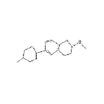 COC1CCc2cc(C3CCC(C)CC3)ccc2C1